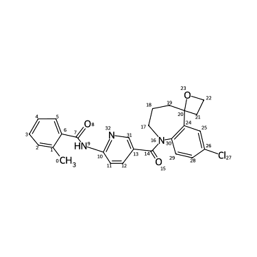 Cc1ccccc1C(=O)Nc1ccc(C(=O)N2CCCC3(CCO3)c3cc(Cl)ccc32)cn1